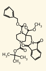 COC(=O)C1(CN2C(=O)c3ccccc3C2=O)CN(C(=O)OC(C)(C)C)CCN1C(=O)OCc1ccccc1